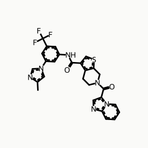 Cc1cn(-c2cc(NC(=O)c3csc4c3CCN(C(=O)c3cnc5ccccn35)C4)cc(C(F)(F)F)c2)cn1